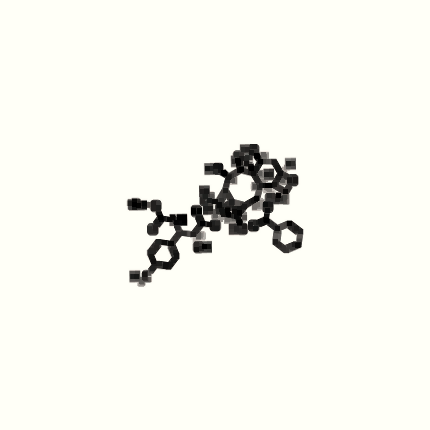 CC(=O)O[C@@]12CO[C@@H]1C[C@H](O)[C@@]1(C)C(=O)[C@H](O)C3=C(C)[C@@H](OC(=O)[C@H](O)C(NC(=O)OC(C)(C)C)c4ccc(C)cc4)[C@H](O)C([C@@H](OC(=O)c4ccccc4)[C@H]21)C3(C)C